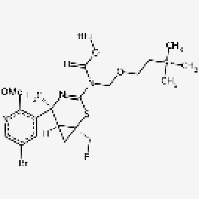 COc1ncc(Br)cc1[C@@]1(C)N=C(N(COCC[Si](C)(C)C)C(=O)OC(C)(C)C)S[C@@]2(CF)C[C@H]21